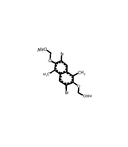 COCOc1c(Br)cc2c(C)c(OCOC)c(Br)cc2c1C